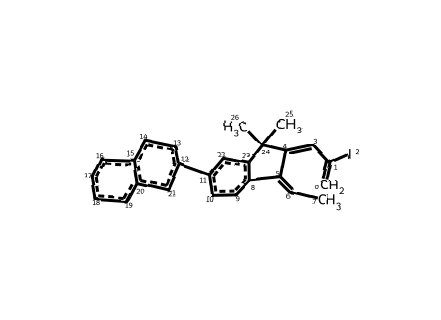 C=C(I)/C=C1\C(=C/C)c2ccc(-c3ccc4ccccc4c3)cc2C1(C)C